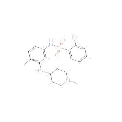 Cc1ccc(NS(=O)(=O)c2ccccc2Br)cc1NC1CCN(C)CC1